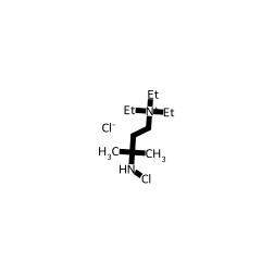 CC[N+](CC)(CC)CCC(C)(C)NCl.[Cl-]